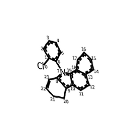 Clc1ccccc1-n1c2c(c3ccc4ccccc4c31)CCC=C2